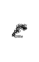 CCCOc1c(C(=O)NS(=O)(=O)N2CCCC2)ccc(C(=O)N2CCc3c(c(=O)oc4c(C)c(N5CCN(C)[C@@H](COC)C5)cc(C)c34)C2)c1F